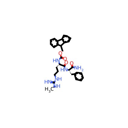 CNC(=N)NCCC[C@H](NC(=O)OCC1c2ccccc2-c2ccccc21)C(=O)N[C@@H](Cc1ccccc1)C(N)=O